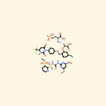 CCS(=O)(=O)c1cccnc1S(=O)(=O)NC(=O)Nc1nc(OC)cc(OC)n1.CCc1ccc(COc2ccc(-n3c(=O)cc(C(F)(F)F)n(C)c3=O)cc2)c(OC(C)C(=O)OC)c1.CP(=O)(O)CCC(N)C(=O)O